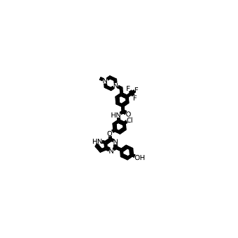 CN1CCN(Cc2ccc(C(=O)Nc3cc(Oc4nc(-c5ccc(O)cc5)nc5cc[nH]c45)ccc3Cl)cc2C(F)(F)F)CC1